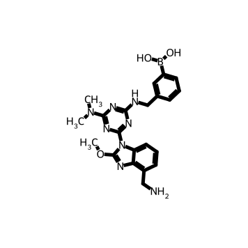 COc1nc2c(CN)cccc2n1-c1nc(NCc2cccc(B(O)O)c2)nc(N(C)C)n1